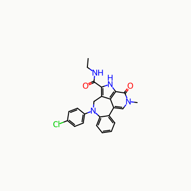 CCNC(=O)c1[nH]c2c(=O)n(C)cc3c2c1CN(c1ccc(Cl)cc1)c1ccccc1-3